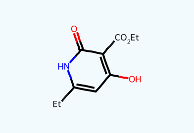 CCOC(=O)c1c(O)cc(CC)[nH]c1=O